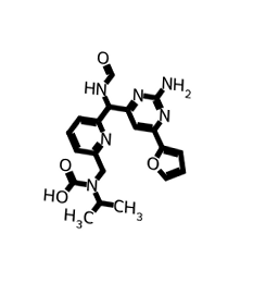 CC(C)N(Cc1cccc(C(NC=O)c2cc(-c3ccco3)nc(N)n2)n1)C(=O)O